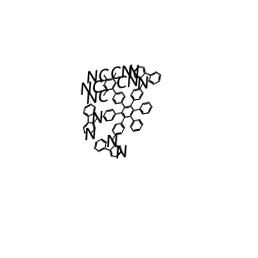 N#Cc1c(C#N)c(C#N)c(-c2ccc(-c3c(-c4ccc(-n5c6ccccc6c6ccncc65)cc4)c(-c4ccccc4)c(-c4ccccc4)c(-c4ccc(-n5c6ccccc6c6ccncc65)cc4)c3-c3ccc(-n4c5ccccc5c5ccncc54)cc3)cc2)c(C#N)c1C#N